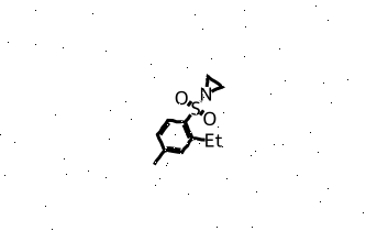 CCc1cc(C)ccc1S(=O)(=O)N1CC1